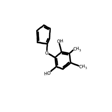 Cc1cc(O)c(Oc2ccccc2)c(O)c1C